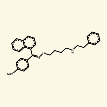 CSc1ccc(/C(=N/OCCCCNCCc2ccccc2)c2cccc3ccccc23)cc1